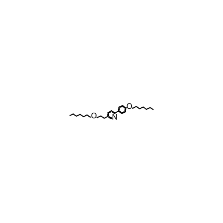 CCCCCCCOCCCc1ccc(-c2ccc(OCCCCCCC)cc2)nc1